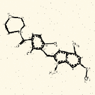 Cc1cc(OC(F)(F)F)cc2c1cc(Cc1c(Cl)ccc(C(=O)N3CCOCC3)c1Cl)n2C